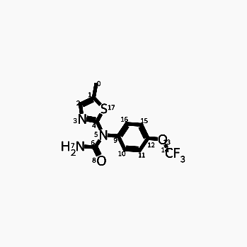 Cc1cnc(N(C(N)=O)c2ccc(OC(F)(F)F)cc2)s1